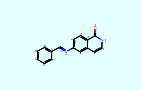 O=c1[nH]ccc2cc(/N=C/c3ccccc3)ccc12